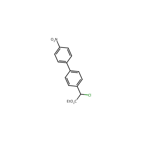 CCOC(=O)C(Cl)c1ccc(-c2ccc([N+](=O)[O-])cc2)cc1